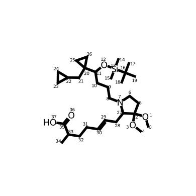 COC1(OC)CCN(CCCC(O[Si](C)(C)C(C)(C)C)C2(CC3CC3)CC2)C1CC=CCCC(C)C(=O)O